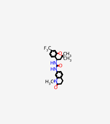 CN1C(=O)CCc2ccc(NC(=O)N[C@@H]3CC(C)(C)Oc4cc(C(F)(F)F)ccc43)cc21